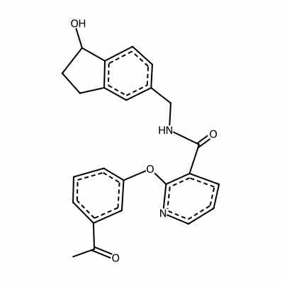 CC(=O)c1cccc(Oc2ncccc2C(=O)NCc2ccc3c(c2)CCC3O)c1